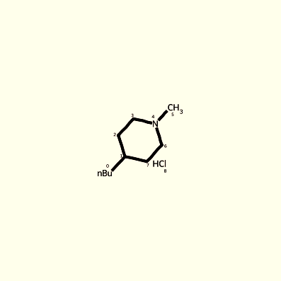 CCCCC1CCN(C)CC1.Cl